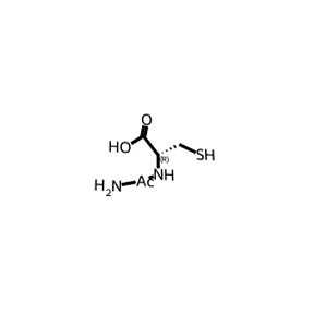 [NH2][Ac][NH][C@@H](CS)C(=O)O